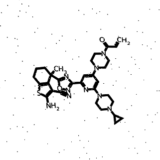 C=CC(=O)N1CCN(c2cc(-c3noc(C4(C)CCCc5sc(N)c(C#N)c54)n3)nc(N3CCN(C4CC4)CC3)c2)CC1